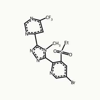 CCS(=O)(=O)c1cc(Br)cnc1-c1nnc(-c2cc(C(F)(F)F)ncn2)n1C